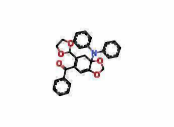 O=C(C1=C(C2OCCO2)CC2(N(c3ccccc3)c3ccccc3)OCOC2=C1)c1ccccc1